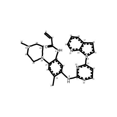 C=CC(=O)Nc1cc(Nc2nccc(-n3ccc4cccnc43)n2)c(C)cc1N1CCN(C)CC1